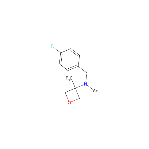 CC(=O)N(Cc1ccc(F)cc1)C1(C(F)(F)F)COC1